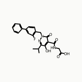 CC(C)c1nn(Cc2ccc(-c3ccccc3)cc2F)c(=O)c(C(=O)NCC(=O)O)c1O